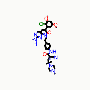 CNc1ncc2cc(-c3cc(OC)cc(OC)c3Cl)c(=O)n(CCc3ccc(NC(=O)/C(C#N)=C/C(C)(C)N4CCN(C)CC4)cc3)c2n1